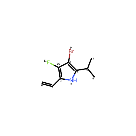 C=Cc1[nH]c(C(C)C)c(Br)c1F